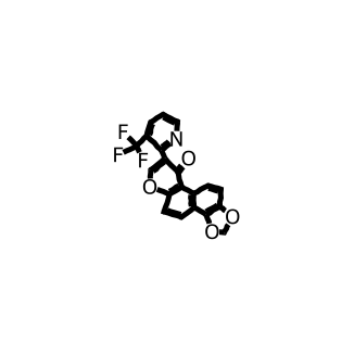 O=c1c(-c2ncccc2C(F)(F)F)coc2ccc3c4c(ccc3c12)OCO4